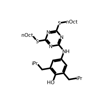 CCCCCCCCSc1nc(Nc2cc(CC(C)C)c(O)c(CC(C)C)c2)nc(SCCCCCCCC)n1